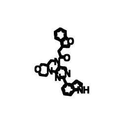 O=C(Cc1coc2ccccc12)N1CC2COCCN2c2nc(-c3cccc4[nH]ccc34)ncc21